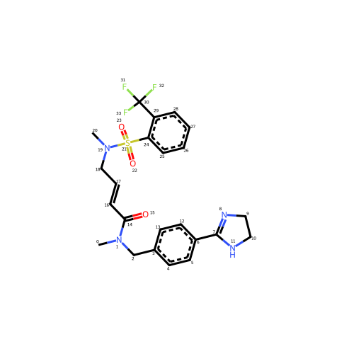 CN(Cc1ccc(C2=NCCN2)cc1)C(=O)C=CCN(C)S(=O)(=O)c1ccccc1C(F)(F)F